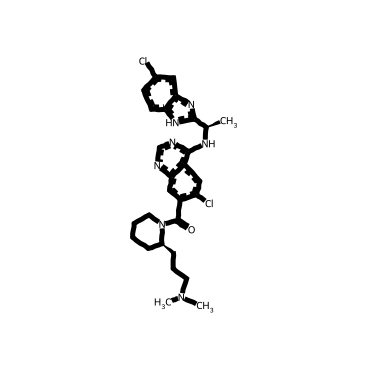 C[C@@H](Nc1ncnc2cc(C(=O)N3CCCC[C@@H]3CCCN(C)C)c(Cl)cc12)c1nc2cc(Cl)ccc2[nH]1